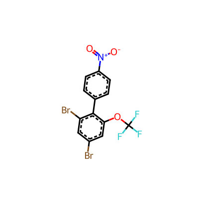 O=[N+]([O-])c1ccc(-c2c(Br)cc(Br)cc2OC(F)(F)F)cc1